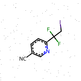 N#Cc1ccc(C(F)(F)CI)nc1